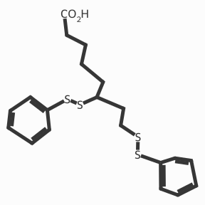 O=C(O)CCCCC(CCSSc1ccccc1)SSc1ccccc1